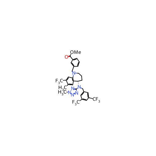 COC(=O)c1cccc(CN2CCC[C@H](N(Cc3cc(C(F)(F)F)cc(C(F)(F)F)c3)c3nnn(C)n3)c3cc(C)c(C(F)(F)F)cc32)c1